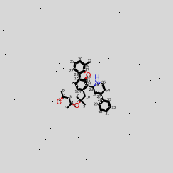 CC(=O)CC(C)OC(C)(C)Cc1ccc2c(oc3c(C)cccc32)c1C1C=C(c2ccccc2)C=CN1